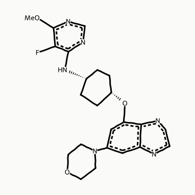 COc1ncnc(N[C@H]2CC[C@@H](Oc3cc(N4CCOCC4)cc4nccnc34)CC2)c1F